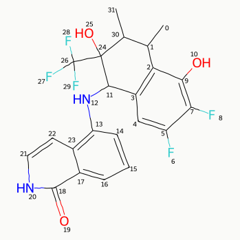 CC1c2c(cc(F)c(F)c2O)C(Nc2cccc3c(=O)[nH]ccc23)C(O)(C(F)(F)F)C1C